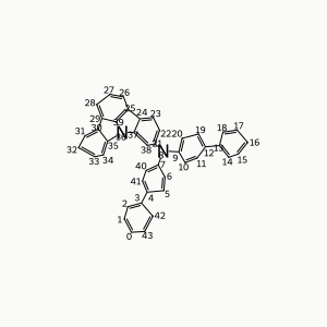 c1ccc(-c2ccc(N(c3ccc(-c4ccccc4)cc3)c3ccc4c5cccc6c7ccccc7n(c4c3)c65)cc2)cc1